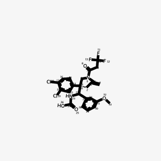 C=CC[C@@](CN(C)C(=O)CC(F)(F)F)(c1ccc(Cl)c(Cl)c1)C(NC(=O)O)c1cccc(OC)c1